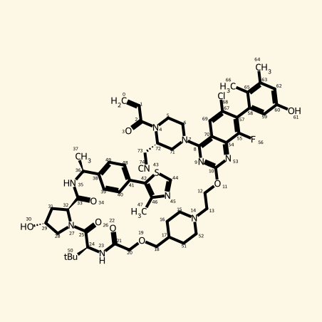 C=CC(=O)N1CCN(c2nc(OCCN3CCC(COCC(=O)N[C@H](C(=O)N4C[C@H](O)C[C@H]4C(=O)N[C@@H](C)c4ccc(-c5scnc5C)cc4)C(C)(C)C)CC3)nc3c(F)c(-c4cc(O)cc(C)c4C)c(Cl)cc23)C[C@@H]1CC#N